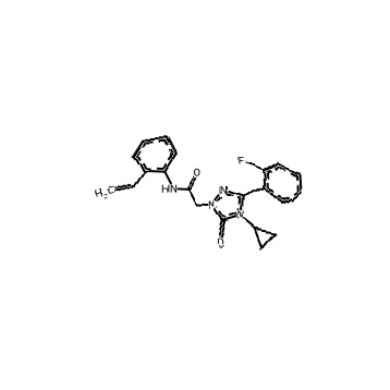 C=Cc1ccccc1NC(=O)Cn1nc(-c2ccccc2F)n(C2CC2)c1=O